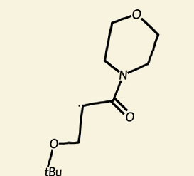 CC(C)(C)OC[CH]C(=O)N1CCOCC1